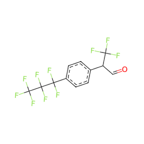 O=CC(c1ccc(C(F)(F)C(F)(F)C(F)(F)F)cc1)C(F)(F)F